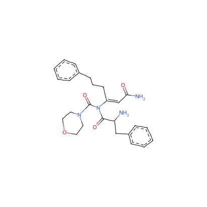 NC(=O)C=C(CCCc1ccccc1)N(C(=O)C(N)Cc1ccccc1)C(=O)N1CCOCC1